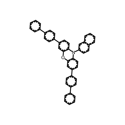 c1ccc(-c2ccc(-c3ccc4c(c3)Oc3cc(-c5ccc(-c6ccccc6)cc5)ccc3N4c3ccc4ccccc4c3)cc2)cc1